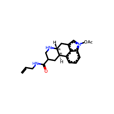 C=CCNC(=O)C1CN[C@@H]2Cc3cn(OC(C)=O)c4cccc(c34)[C@H]2C1